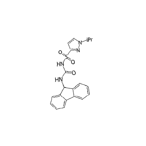 CC(C)n1ccc(S(=O)(=O)NC(=O)NC2c3ccccc3-c3ccccc32)n1